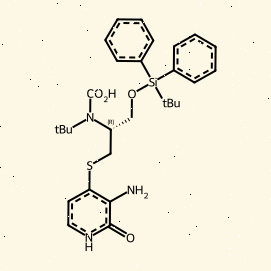 CC(C)(C)N(C(=O)O)[C@H](CO[Si](c1ccccc1)(c1ccccc1)C(C)(C)C)CSc1cc[nH]c(=O)c1N